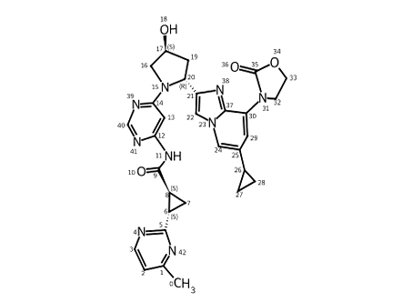 Cc1ccnc([C@H]2C[C@@H]2C(=O)Nc2cc(N3C[C@@H](O)C[C@@H]3c3cn4cc(C5CC5)cc(N5CCOC5=O)c4n3)ncn2)n1